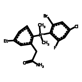 CCc1ccc([N+](C)(C)c2c(F)cc(Cl)cc2Br)c(CC(N)=O)c1